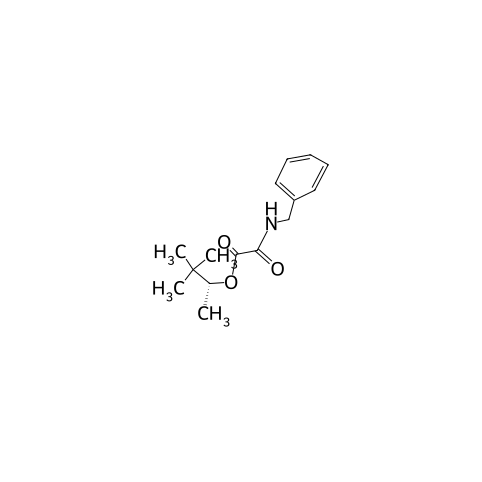 C[C@@H](OC(=O)C(=O)NCc1ccccc1)C(C)(C)C